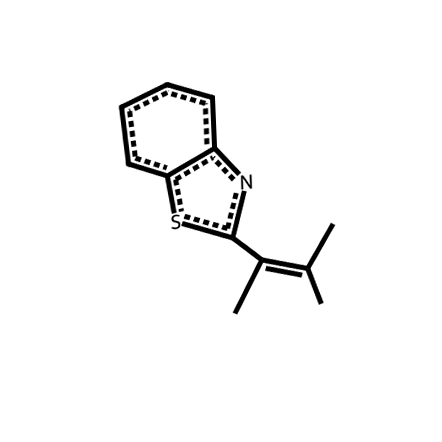 CC(C)=C(C)c1nc2ccccc2s1